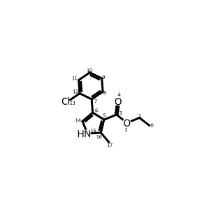 CCOC(=O)c1c(-c2ccccc2Cl)c[nH]c1C